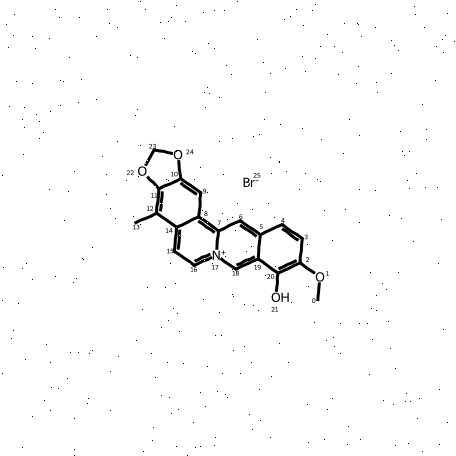 COc1ccc2cc3c4cc5c(c(C)c4cc[n+]3cc2c1O)OCO5.[Br-]